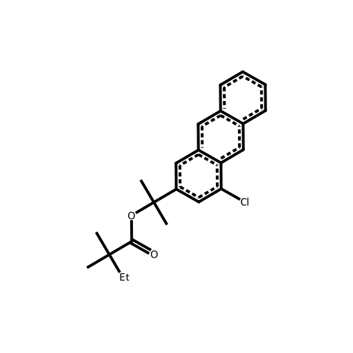 CCC(C)(C)C(=O)OC(C)(C)c1cc(Cl)c2cc3ccccc3cc2c1